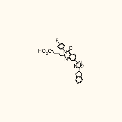 O=C(O)CCCCc1nc2cc(-c3noc(C4Cc5ccccc5C4)n3)ccc2c(=O)n1-c1ccc(F)cc1